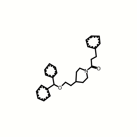 O=C(CCc1ccccc1)N1CCC(CCOC(c2ccccc2)c2ccccc2)CC1